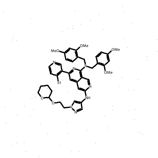 CCc1ccncc1-c1cc2cc(Nc3cnn(CCOC4CCCCO4)c3)ncc2c(N(Cc2ccc(OC)cc2OC)Cc2ccc(OC)cc2OC)n1